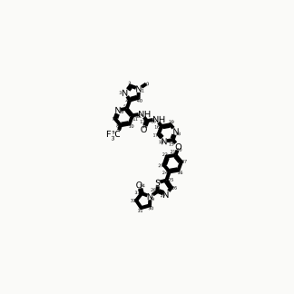 Cn1cnc(-c2ncc(C(F)(F)F)cc2NC(=O)Nc2cnc(Oc3ccc(-c4cnc(N5CCCC5=O)s4)cc3)nc2)c1